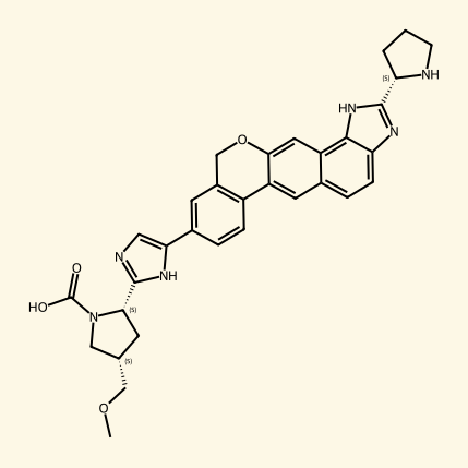 COC[C@H]1C[C@@H](c2ncc(-c3ccc4c(c3)COc3cc5c(ccc6nc([C@@H]7CCCN7)[nH]c65)cc3-4)[nH]2)N(C(=O)O)C1